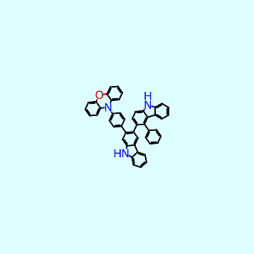 c1ccc(-c2c(-c3cc4c(cc3-c3ccc(N5c6ccccc6Oc6ccccc65)cc3)[nH]c3ccccc34)ccc3[nH]c4ccccc4c23)cc1